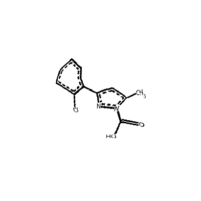 Cc1cc(-c2ccccc2Cl)nn1C(=O)O